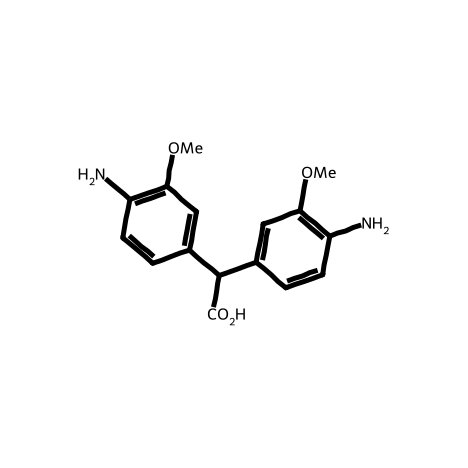 COc1cc(C(C(=O)O)c2ccc(N)c(OC)c2)ccc1N